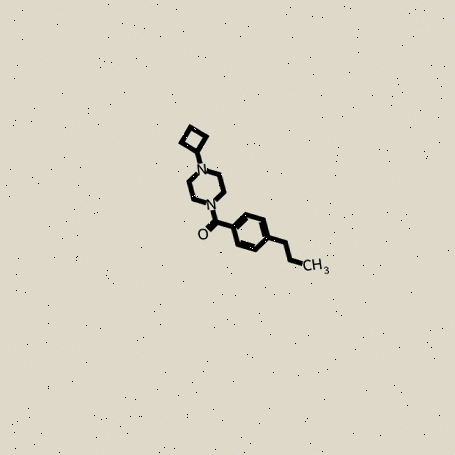 CCCc1ccc(C(=O)N2CCN(C3CCC3)CC2)cc1